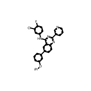 CC(C)Oc1cccc(-c2ccc3nc(-c4cccnc4)nc(Nc4ccc(F)c(Cl)c4)c3c2)c1